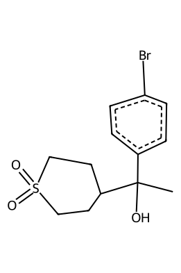 CC(O)(c1ccc(Br)cc1)C1CCS(=O)(=O)CC1